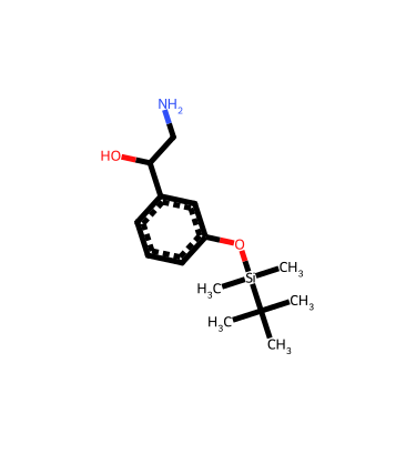 CC(C)(C)[Si](C)(C)Oc1cccc(C(O)CN)c1